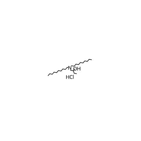 CCCCCCCCCCN(CCCCCCCCCC)CC(O)CC.Cl